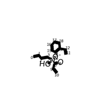 C=CC=C[N+]([O-])(O)C(=O)C=C.C=Cc1ccccc1